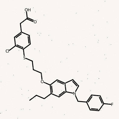 CCCc1cc2c(ccn2Cc2ccc(F)cc2)cc1OCCCSc1ccc(CC(=O)O)cc1Cl